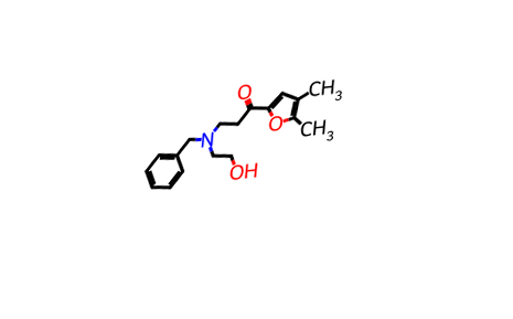 Cc1cc(C(=O)CCN(CCO)Cc2ccccc2)oc1C